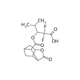 CC(C)C(OC(=O)C1C2CC3OC(=O)C1C3C2)C(F)(F)C(=O)O